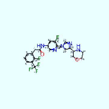 O=C(Cc1cccc(C(F)(F)F)c1F)Nc1cnc(-n2cnc(C3COCCN3)c2)c(F)c1